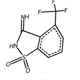 N=C1NS(=O)(=O)c2cccc(C(F)(F)F)c21